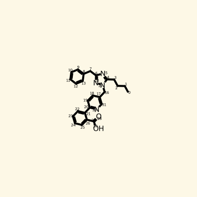 CCCCc1nc(Cc2ccccc2)nn1Cc1ccc(-c2ccccc2C(=O)O)nc1